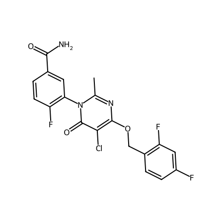 Cc1nc(OCc2ccc(F)cc2F)c(Cl)c(=O)n1-c1cc(C(N)=O)ccc1F